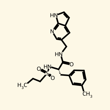 CCCS(=O)(=O)N[C@@H](Cc1cccc(C)c1)C(=O)NCc1cnc2[nH]ccc2c1